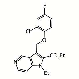 CCOC(=O)c1c(COc2ccc(F)cc2Cl)c2cnccc2n1CC